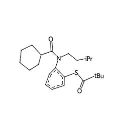 CC(C)CCN(C(=O)C1CCCCC1)c1ccccc1SC(=O)C(C)(C)C